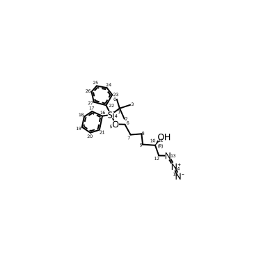 CC(C)(C)[Si](OCCCC[C@@H](O)CN=[N+]=[N-])(c1ccccc1)c1ccccc1